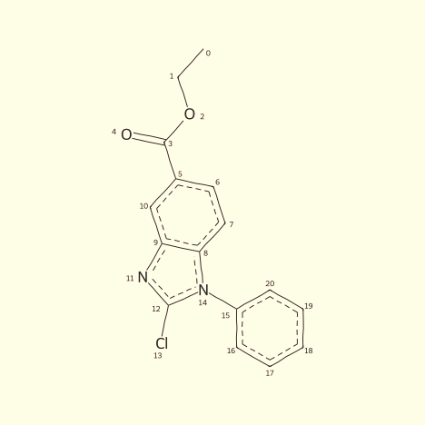 CCOC(=O)c1ccc2c(c1)nc(Cl)n2-c1ccccc1